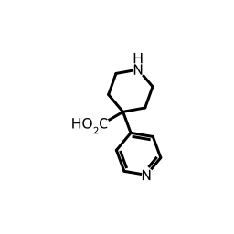 O=C(O)C1(c2ccncc2)CCNCC1